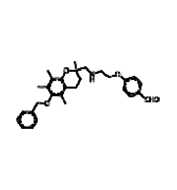 Cc1c(C)c2c(c(C)c1OCc1ccccc1)CCC(C)(CNCCOc1ccc(C=O)cc1)O2